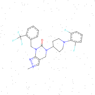 Cn1cc2c(n1)N(Cc1ccccc1C(F)(F)F)C(=O)N(C1CCN(c3c(F)cccc3F)CC1)C2